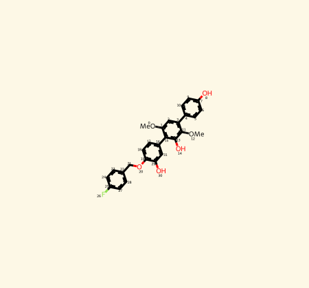 COc1cc(-c2ccc(O)cc2)c(OC)c(O)c1-c1ccc(OCc2ccc(F)cc2)c(O)c1